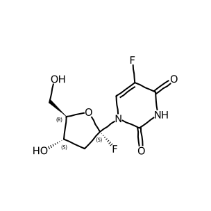 O=c1[nH]c(=O)n([C@@]2(F)C[C@H](O)[C@@H](CO)O2)cc1F